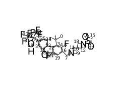 CC(C)c1c(F)c(CN2CC3(C2)CN(S(C)(=O)=O)C3)cc(F)c1-c1ccc(C(O)(C(F)(F)F)C(F)(F)F)cc1Cl